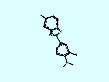 Cc1ccc2sc(-c3ccc(N(C)C)c(I)c3)nc2c1